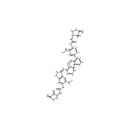 COc1cc2c(cc1CNC[C@H]1CCC(=O)N1)CC/C2=C/c1cccc(-c2cccc(-c3ccc(CNC[C@H]4CCC(=O)N4)c(OC)n3)c2Cl)c1Cl